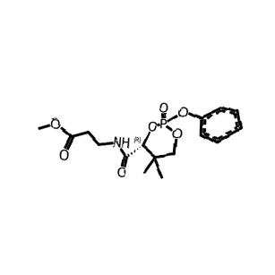 COC(=O)CCNC(=O)[C@@H]1OP(=O)(Oc2ccccc2)OCC1(C)C